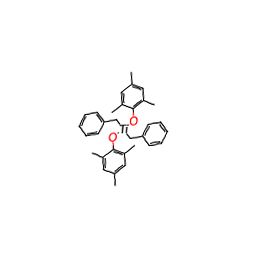 Cc1cc(C)c([O][Ti]([CH2]c2ccccc2)([CH2]c2ccccc2)[O]c2c(C)cc(C)cc2C)c(C)c1